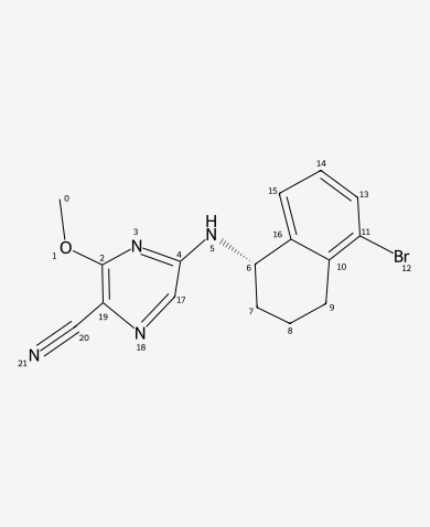 COc1nc(N[C@H]2CCCc3c(Br)cccc32)cnc1C#N